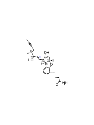 CC#CC[C@H](C)[C@H](O)/C=C/[C@@H]1[C@H]2c3cccc(CCCC(=O)NC)c3O[C@H]2C[C@H]1O